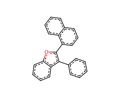 c1ccc(-c2c(-c3cccc4ccccc34)oc3ccccc23)cc1